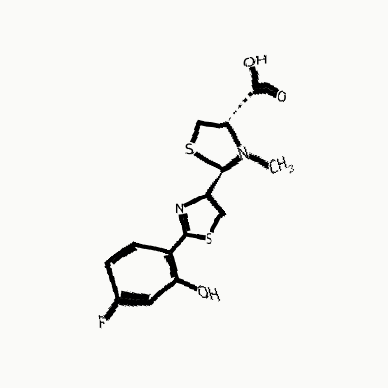 CN1[C@@H](C(=O)O)CS[C@@H]1C1CSC(c2ccc(F)cc2O)=N1